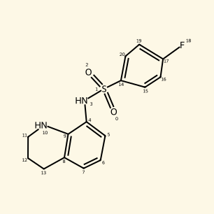 O=S(=O)(Nc1cccc2c1NCCC2)c1ccc(F)cc1